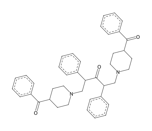 O=C(c1ccccc1)C1CCN(CC(C(=O)C(CN2CCC(C(=O)c3ccccc3)CC2)c2ccccc2)c2ccccc2)CC1